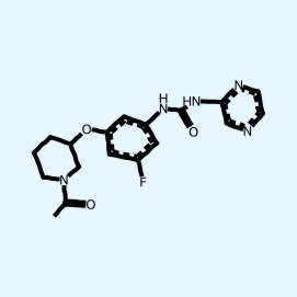 CC(=O)N1CCCC(Oc2cc(F)cc(NC(=O)Nc3cnccn3)c2)C1